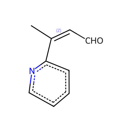 C/C(=C/C=O)c1ccccn1